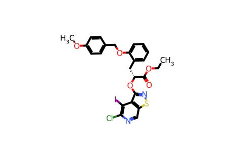 CCOC(=O)[C@@H](Cc1ccccc1OCc1ccc(OC)cc1)Oc1nsc2cnc(Cl)c(I)c12